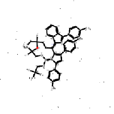 Cc1ccc(C2=N/C(=C(/CCC(F)(F)CC(F)(F)F)c3c(-c4ccc(C(C)(C)C)cc4)cc(-c4ccc(C(C)(C)C)cc4)n3B(OCC(F)(F)C(F)(F)F)OCC(F)(F)C(F)(F)F)c3ccccc32)cc1